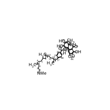 CNCCCN(C)CCCCN(C)CCCN(C)Cc1ccc(C(=O)N[C@H]2[C@H](O)[C@@H](O)[C@@H](C)[C@@H]3NC(=O)c4c(cc5c(c4O)OCO5)[C@H]32)cc1